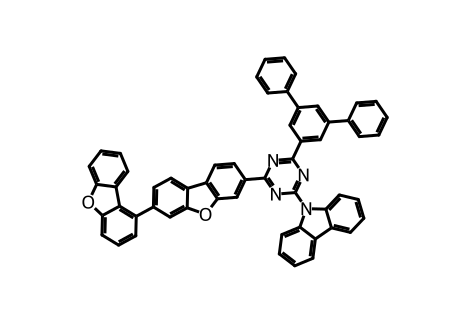 c1ccc(-c2cc(-c3ccccc3)cc(-c3nc(-c4ccc5c(c4)oc4cc(-c6cccc7oc8ccccc8c67)ccc45)nc(-n4c5ccccc5c5ccccc54)n3)c2)cc1